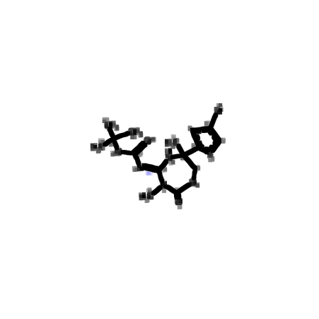 CN1C(=O)OCC(C)(c2cc(Br)cs2)N/C1=N\C(=O)OC(C)(C)C